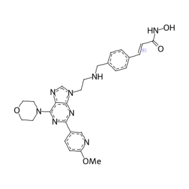 COc1ccc(-c2nc(N3CCOCC3)c3ncn(CCNCc4ccc(/C=C/C(=O)NO)cc4)c3n2)cn1